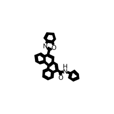 O=C(Nc1ccccc1)c1cc2cc(-c3nc4c(o3)CCC=C4)c3ccccc3c2c2ccccc12